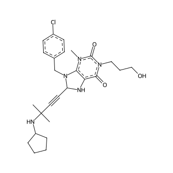 Cn1c2c(c(=O)n(CCCO)c1=O)NC(C#CC(C)(C)NC1CCCC1)N2Cc1ccc(Cl)cc1